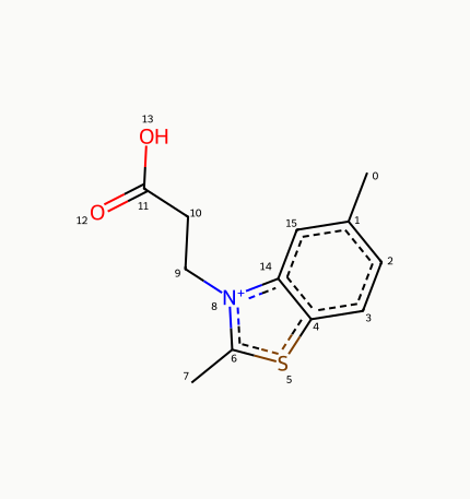 Cc1ccc2sc(C)[n+](CCC(=O)O)c2c1